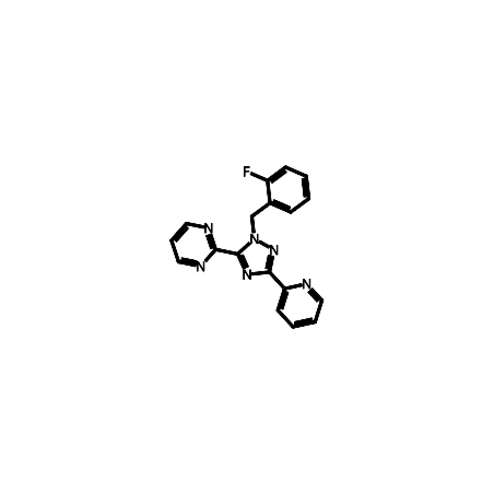 Fc1ccccc1Cn1nc(-c2ccccn2)nc1-c1ncccn1